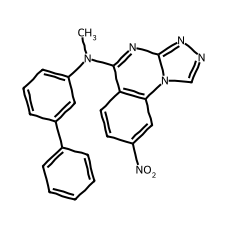 CN(c1cccc(-c2ccccc2)c1)c1nc2nncn2c2cc([N+](=O)[O-])ccc12